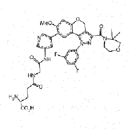 COc1cc2c(cc1-c1cncc(NC(=O)CNC(=O)CC[C@@H](N)C(=O)O)c1)-c1c(c(C(=O)N3CCOCC3(C)C)nn1-c1cc(F)cc(F)c1)CO2